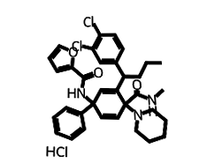 CCCC(C1=CC(NC(=O)c2ccco2)(c2ccccc2)C=CC1(C(=O)NC)N1CCCCC1)c1ccc(Cl)c(Cl)c1.Cl